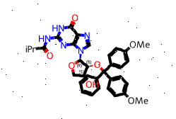 COc1ccc(C(O[C@H]2[C@H](n3cnc4c(=O)[nH]c(NC(=O)C(C)C)nc43)OC[C@@H]2O)(c2ccccc2)c2ccc(OC)cc2)cc1